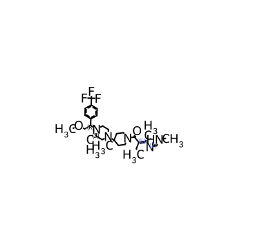 CC/C(C(=O)N1CCC(C)(N2CCN([C@@H](COC)c3ccc(C(F)(F)F)cc3)[C@@H](C)C2)CC1)=C(C)\N=C/NC